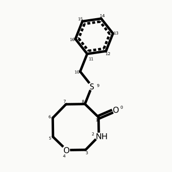 O=C1NCOCCCC1SCc1ccccc1